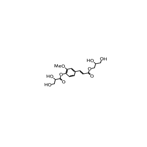 COc1cc(C=CC(=O)OCC(O)CO)ccc1OC(=O)C(O)CO